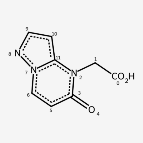 O=C(O)Cn1c(=O)ccn2nccc12